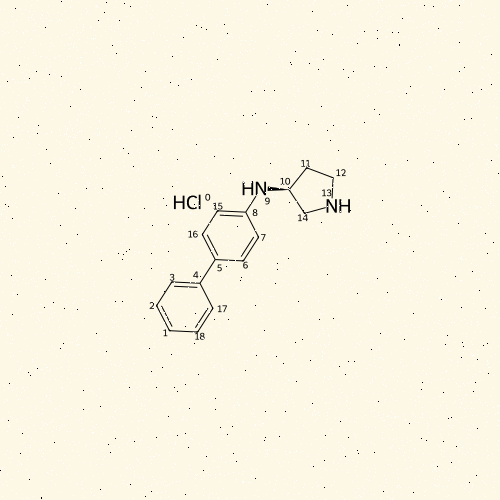 Cl.c1ccc(-c2ccc(N[C@H]3CCNC3)cc2)cc1